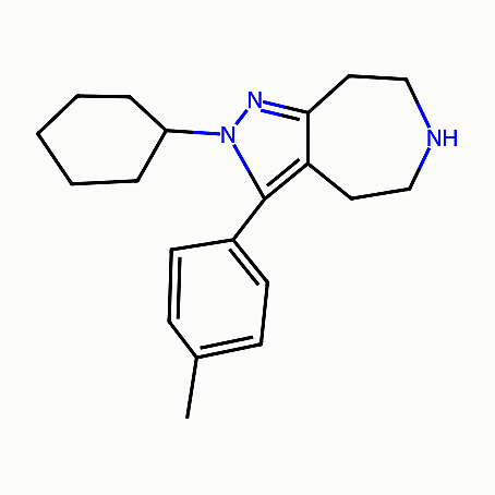 Cc1ccc(-c2c3c(nn2C2CCCCC2)CCNCC3)cc1